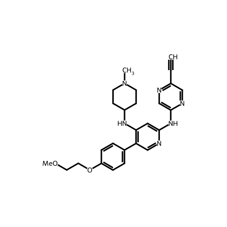 C#Cc1cnc(Nc2cc(NC3CCN(C)CC3)c(-c3ccc(OCCOC)cc3)cn2)cn1